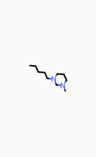 CCCCCN1CCCN(C)C1